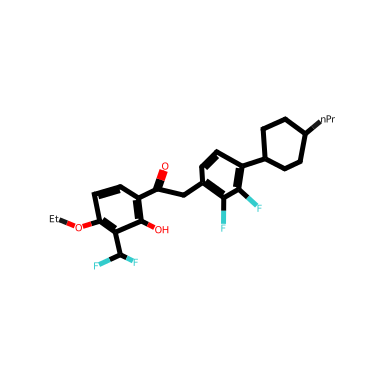 CCCC1CCC(c2ccc(CC(=O)c3ccc(OCC)c(C(F)F)c3O)c(F)c2F)CC1